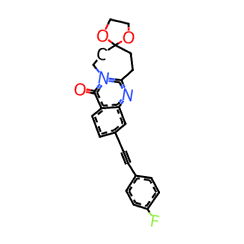 O=c1c2ccc(C#Cc3ccc(F)cc3)cc2nc2n1CCC1(CC2)OCCO1